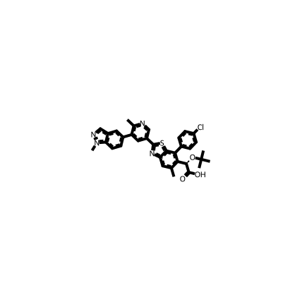 Cc1cc2nc(-c3cnc(C)c(-c4ccc5c(cnn5C)c4)c3)sc2c(-c2ccc(Cl)cc2)c1[C@H](OC(C)(C)C)C(=O)O